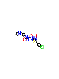 CC1CCN(Cc2ccc(N3CC(C(O)Nc4nnc(CCc5ccc(Cl)cc5)s4)CC3=O)cc2)CC1